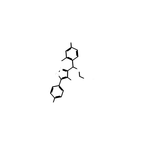 Cc1c(C(OCC(=O)O)c2ccc(Cl)cc2Cl)n[nH]c1-c1ccc(Cl)cc1